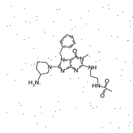 Cn1c(NCCNS(C)(=O)=O)nc2nc(N3CCCC(N)C3)n(Cc3ccccc3)c2c1=O